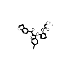 C=CC(=O)Oc1ccccc1Oc1c(C(=O)c2ccc3occc3c2)sc2cc(F)ccc12